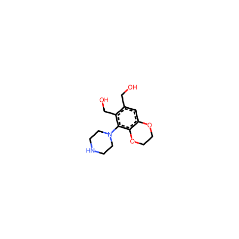 OCc1cc2c(c(N3CCNCC3)c1CO)OCCO2